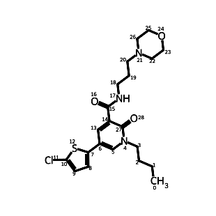 CCCCn1cc(-c2ccc(Cl)s2)cc(C(=O)NCCCN2CCOCC2)c1=O